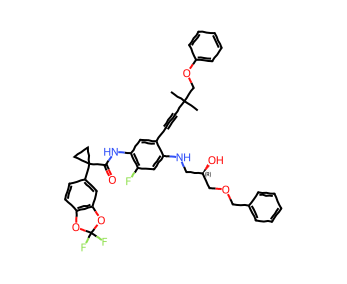 CC(C)(C#Cc1cc(NC(=O)C2(c3ccc4c(c3)OC(F)(F)O4)CC2)c(F)cc1NC[C@@H](O)COCc1ccccc1)COc1ccccc1